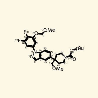 COCOc1cc(-n2ncc3cc(C4(COC)CCN(C(=O)OC(C)(C)C)CC4)ccc32)cc(F)c1F